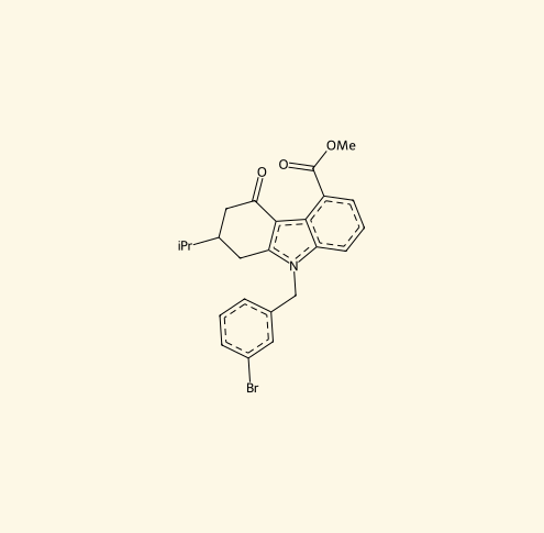 COC(=O)c1cccc2c1c1c(n2Cc2cccc(Br)c2)CC(C(C)C)CC1=O